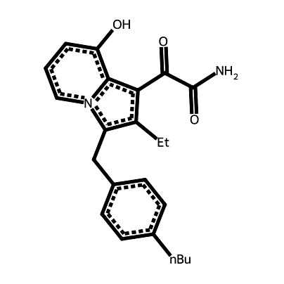 CCCCc1ccc(Cc2c(CC)c(C(=O)C(N)=O)c3c(O)cccn23)cc1